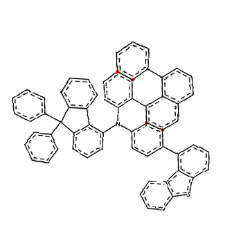 c1ccc(-c2cccc3cccc(-c4ccccc4N(c4ccc(-c5cccc6sc7ccccc7c56)cc4)c4cccc5c4-c4ccccc4C5(c4ccccc4)c4ccccc4)c23)cc1